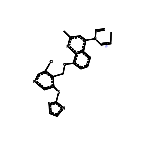 C=CN(/C=C\C)c1cc(C)nc2c(OCc3c(Cl)cncc3Sc3nccs3)cccc12